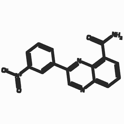 NC(=O)c1cccc2ncc(-c3cccc([N+](=O)[O-])c3)nc12